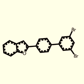 Brc1cc(Br)cc(-c2ccc(-c3cc4ccccc4o3)cc2)c1